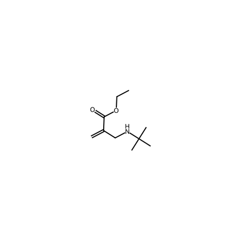 C=C(CNC(C)(C)C)C(=O)OCC